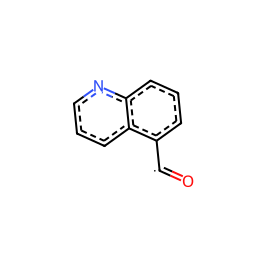 O=[C]c1cccc2ncccc12